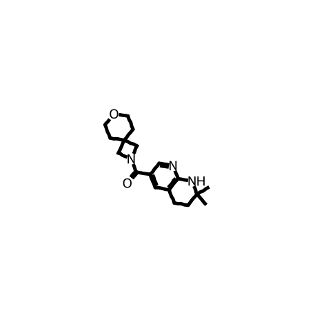 CC1(C)CCc2cc(C(=O)N3CC4(CCOCC4)C3)cnc2N1